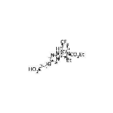 CCOC(=O)N1c2ccc(C(F)(F)F)cc2[C@@H](Nc2ncc(OCCCC(=O)O)cn2)C[C@H]1CC